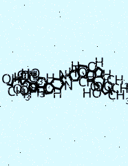 C[C@@H]1[C@]2(O[C@H]3C=C4[C@@H]5CC[C@H]6Cc7nc8c(nc7C[C@]6(C)[C@H]5C[C@@H](O)[C@]4(C)[C@]31O)C[C@@H]1CC[C@H]3[C@@]45O[C@@H]4C[C@@H]4[C@H](C)[C@@]6(OC[C@@]45C(=O)C[C@]3(O)[C@@]1(C)C8)OC(C)(C)C[C@H]6O)O[C@](C)(CO)C[C@H]2O